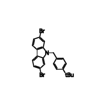 CC(C)(C)c1ccc(Cn2c3cc(Br)ccc3c3ccc(Br)cc32)cc1